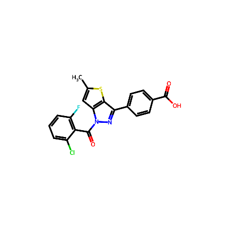 Cc1cc2c(s1)c(-c1ccc(C(=O)O)cc1)nn2C(=O)c1c(F)cccc1Cl